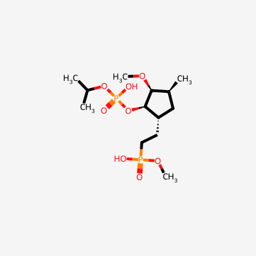 CO[C@@H]1[C@H](OP(=O)(O)OC(C)C)[C@@H](CCP(=O)(O)OC)C[C@@H]1C